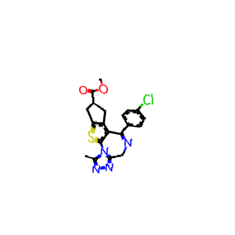 COC(=O)C1Cc2sc3c(c2C1)C(c1ccc(Cl)cc1)=NCc1nnc(C)n1-3